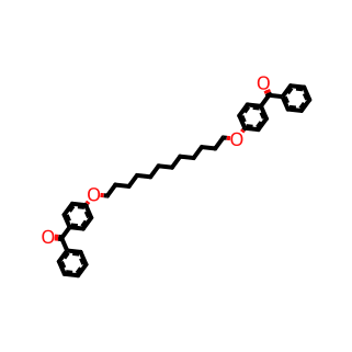 O=C(c1ccccc1)c1ccc(OCCCCCCCCCCCCOc2ccc(C(=O)c3ccccc3)cc2)cc1